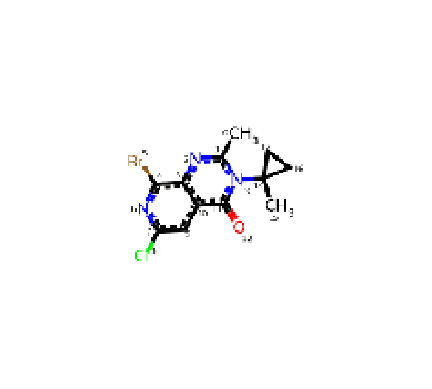 Cc1nc2c(Br)nc(Cl)cc2c(=O)n1C1(C)CC1